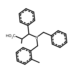 Cc1ccccc1CN(Cc1ccccc1)C(c1ccccc1)C(C)C(=O)O